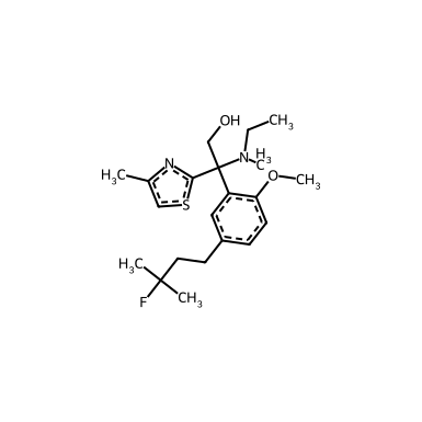 CCN(C)C(CO)(c1nc(C)cs1)c1cc(CCC(C)(C)F)ccc1OC